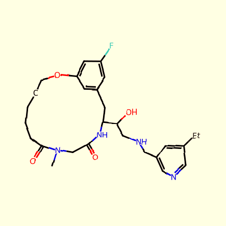 CCc1cncc(CNCC(O)C2Cc3cc(F)cc(c3)OCCCCCC(=O)N(C)CC(=O)N2)c1